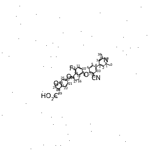 Cc1cc(-c2ccc(Oc3ccc(F)c4c3CC[C@H]4Oc3ccc4c(c3)OC[C@H]4CC(=O)O)c(C#N)c2)cc(C)n1